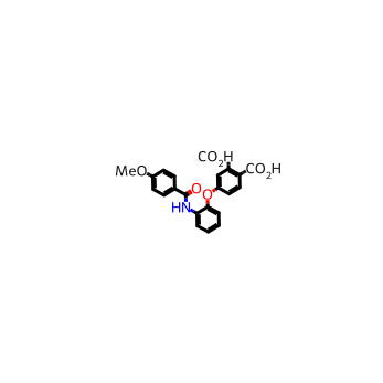 COc1ccc(C(=O)Nc2ccccc2Oc2ccc(C(=O)O)c(C(=O)O)c2)cc1